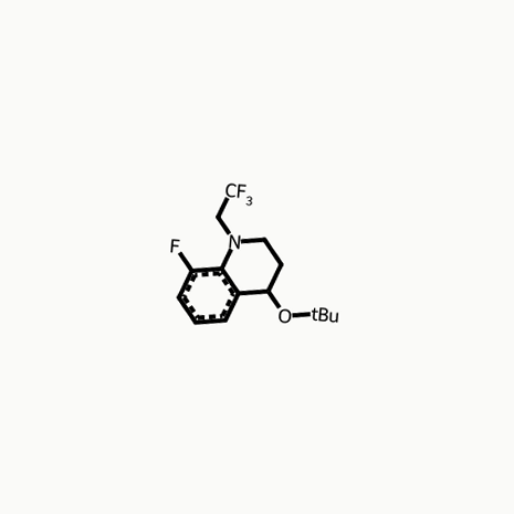 CC(C)(C)OC1CCN(CC(F)(F)F)c2c(F)cccc21